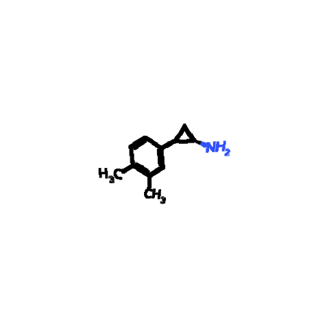 Cc1ccc(C2C[C@H]2N)cc1C